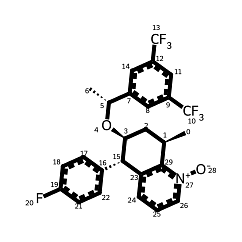 C[C@@H]1C[C@H](O[C@H](C)c2cc(C(F)(F)F)cc(C(F)(F)F)c2)[C@@H](c2ccc(F)cc2)c2ccc[n+]([O-])c21